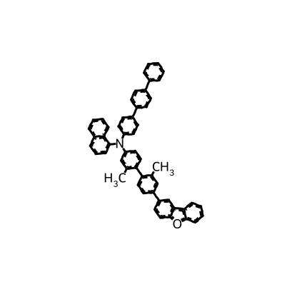 Cc1cc(-c2ccc3oc4ccccc4c3c2)ccc1-c1ccc(N(c2ccc(-c3ccc(-c4ccccc4)cc3)cc2)c2cccc3ccccc23)cc1C